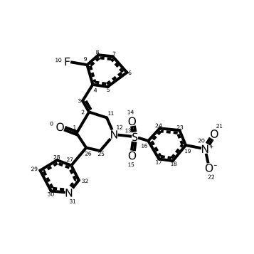 O=C1C(=Cc2ccccc2F)CN(S(=O)(=O)c2ccc([N+](=O)[O-])cc2)CC1c1cccnc1